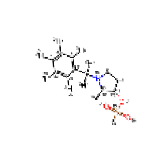 [2H]c1c([2H])c([2H])c(C([2H])([2H])N2CC[C@H](OS(C)(=O)=O)[C@H]2C)c([2H])c1[2H]